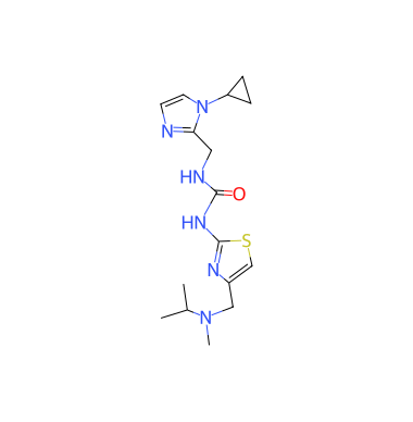 CC(C)N(C)Cc1csc(NC(=O)NCc2nccn2C2CC2)n1